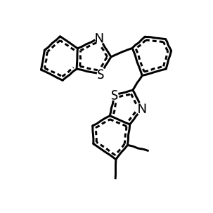 Cc1ccc2sc(-c3ccccc3-c3nc4ccccc4s3)nc2c1C